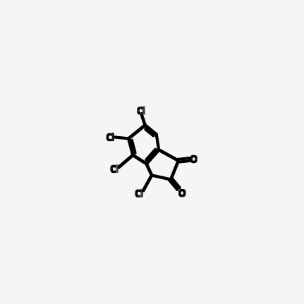 O=C1C(=O)C(Cl)c2c1cc(Cl)c(Cl)c2Cl